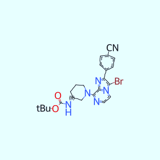 CC(C)(C)OC(=O)N[C@@H]1CCCN(c2nccn3c(Br)c(-c4ccc(C#N)cc4)nc23)C1